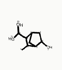 CC1C2CC(CC2O)C1C(O)O